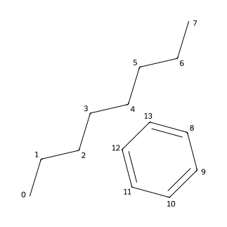 CCCCCCCC.c1ccccc1